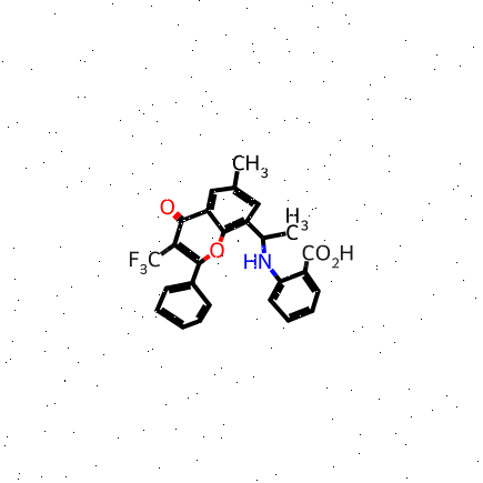 Cc1cc(C(C)Nc2ccccc2C(=O)O)c2oc(-c3ccccc3)c(C(F)(F)F)c(=O)c2c1